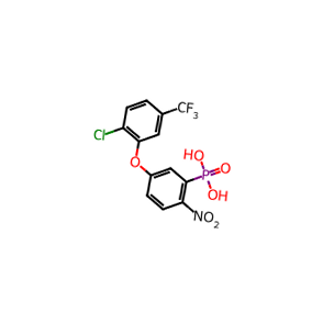 O=[N+]([O-])c1ccc(Oc2cc(C(F)(F)F)ccc2Cl)cc1P(=O)(O)O